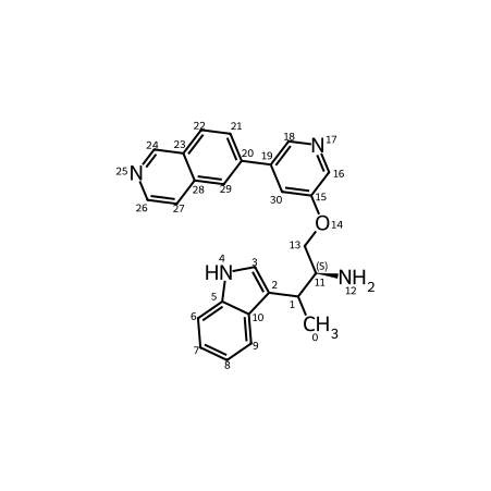 CC(c1c[nH]c2ccccc12)[C@H](N)COc1cncc(-c2ccc3cnccc3c2)c1